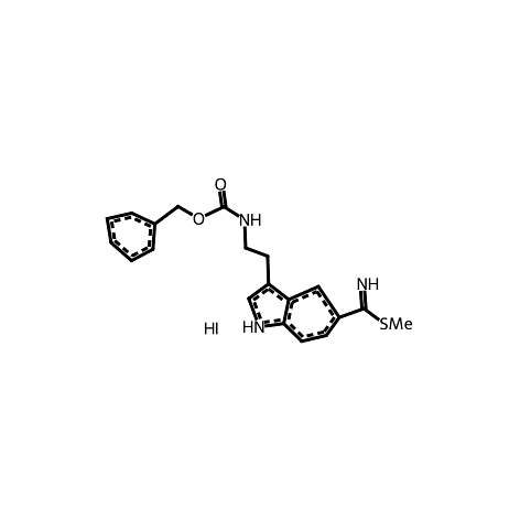 CSC(=N)c1ccc2[nH]cc(CCNC(=O)OCc3ccccc3)c2c1.I